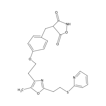 Cc1oc(CCSc2ccccn2)nc1CCOc1ccc(CC2C(=O)NOC2=O)cc1